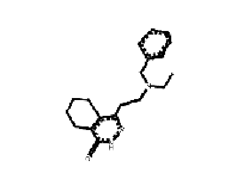 CCN(CCc1n[nH]c(=O)c2c1CCCC2)Cc1ccccc1